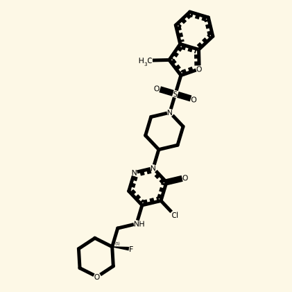 Cc1c(S(=O)(=O)N2CCC(n3ncc(NC[C@@]4(F)CCCOC4)c(Cl)c3=O)CC2)oc2ccccc12